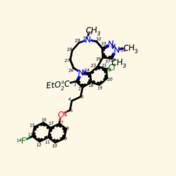 CCOC(=O)c1c(CCCOc2cccc3cc(F)ccc23)c2ccc(Cl)c3c2n1CCCCN(C)Cc1nn(C)c(C)c1-3